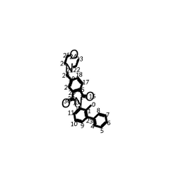 Cc1c(-c2ccccc2)cccc1N1C(=O)c2ccc(CN3CCOCC3)cc2C1=O